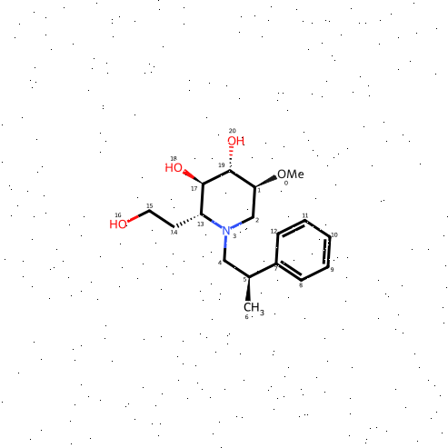 CO[C@H]1CN(C[C@H](C)c2ccccc2)[C@H](CCO)[C@@H](O)[C@@H]1O